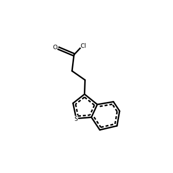 O=C(Cl)CCc1csc2ccccc12